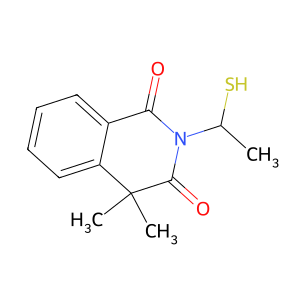 CC(S)N1C(=O)c2ccccc2C(C)(C)C1=O